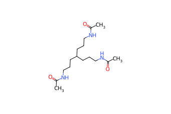 CC(=O)NCCCC(CCCNC(C)=O)CCCNC(C)=O